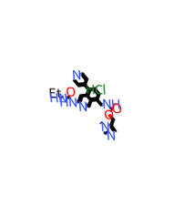 CCNC(=O)Nc1cc2c(-c3ccncc3)ccc(CNC(=O)OCc3cncn3C)c2cn1.Cl